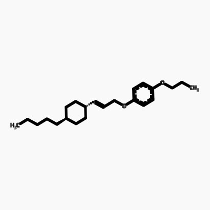 CCCCC[C@H]1CC[C@H](/C=C/COc2ccc(OCCC)cc2)CC1